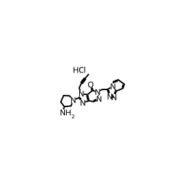 CC#CCn1c(N2CCCC(N)C2)nc2cnn(Cc3nnc4ccccn34)c(=O)c21.Cl